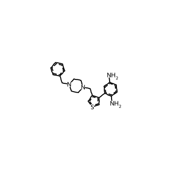 Nc1ccc(N)c(-c2cscc2CN2CCN(Cc3ccccc3)CC2)c1